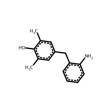 Cc1cc(Cc2ccccc2N)cc(C)c1O